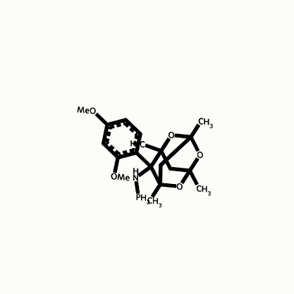 COc1ccc(C2(NP)C3(C)CC4(C)OC(C)(CC2(C)O4)O3)c(OC)c1